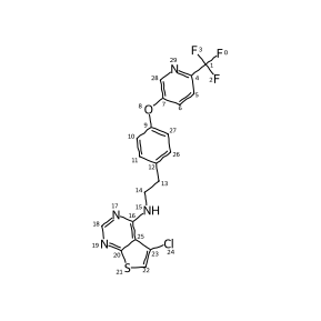 FC(F)(F)c1ccc(Oc2ccc(CCNc3ncnc4scc(Cl)c34)cc2)cn1